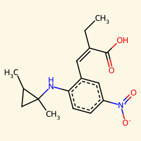 CCC(=Cc1cc([N+](=O)[O-])ccc1NC1(C)CC1C)C(=O)O